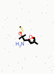 CSOC(C)(C)[C@@H](N)c1cc(C)co1